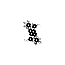 [2H]c1c([2H])c(N(c2ccc(C(F)(F)F)cc2)c2ccc3ccc4c(N(c5ccc(C(F)(F)F)cc5)c5c([2H])c([2H])c(C#N)c([2H])c5[2H])ccc5ccc2c3c54)c([2H])c([2H])c1C#N